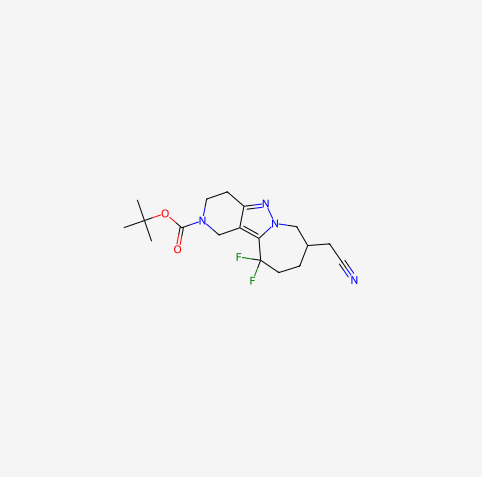 CC(C)(C)OC(=O)N1CCc2nn3c(c2C1)C(F)(F)CCC(CC#N)C3